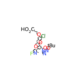 Cc1nc(F)ccc1-c1cc(Cn2ccn(C)/c2=N/C(=O)OC(C)(C)C)cc2c1OCC(Cc1ccc(Cl)c(OCCCCC(=O)O)c1)C2=O